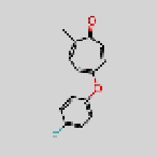 Cc1ccc(Oc2ccc(F)cc2)ccc1=O